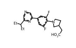 CCC(CC)c1cncc(-c2cc(F)c(N3CCC(CC(=O)O)C3)c(F)c2)n1